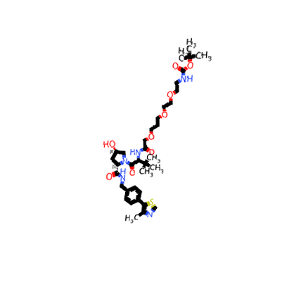 Cc1ncsc1-c1ccc(CNC(=O)[C@@H]2C[C@@H](O)CN2C(=O)C(NC(=O)COCCCOCCOCCNC(=O)OC(C)(C)C)C(C)(C)C)cc1